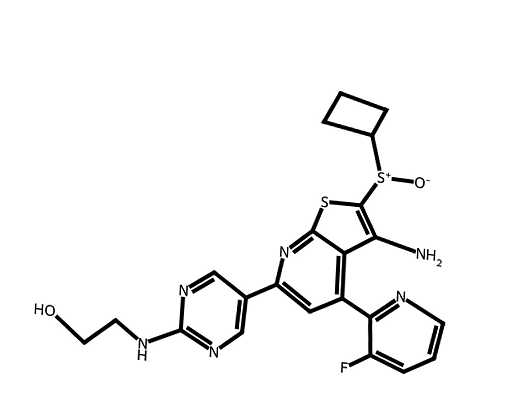 Nc1c([S+]([O-])C2CCC2)sc2nc(-c3cnc(NCCO)nc3)cc(-c3ncccc3F)c12